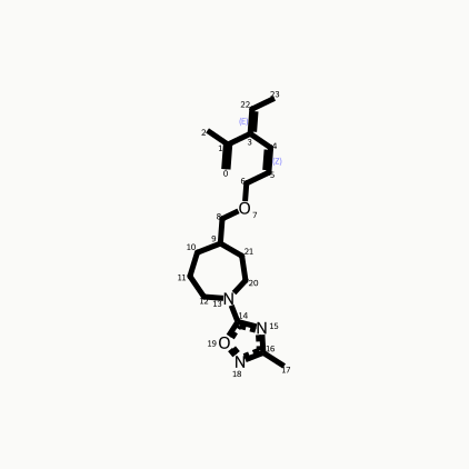 C=C(C)C(/C=C\COCC1CCCN(c2nc(C)no2)CC1)=C/C